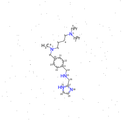 CCCN(CCC)CCCCN(C)Cc1ccc(CNCc2ncc[nH]2)cc1